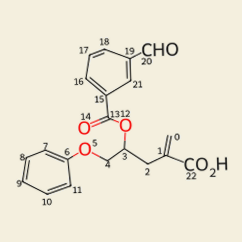 C=C(CC(COc1ccccc1)OC(=O)c1cccc(C=O)c1)C(=O)O